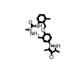 CC1=C(Cl)C(C)NN1c1ccc(OCc2c(C)cccc2NC(=O)N(C)N)c(C)c1